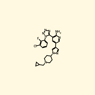 Nc1ncc(-c2cnn(C3CCN(CC4CC4)CC3)c2)cc1-c1nnnn1-c1cccc(Cl)c1F